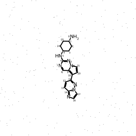 N[C@H]1CC[C@@H](Nc2ncc3c(-c4ccc5nccn5n4)ccn3n2)CC1